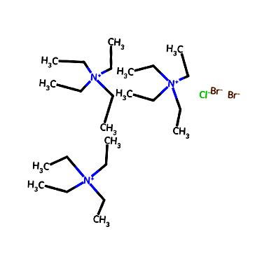 CC[N+](CC)(CC)CC.CC[N+](CC)(CC)CC.CC[N+](CC)(CC)CC.[Br-].[Br-].[Cl-]